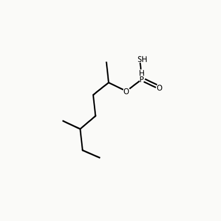 CCC(C)CCC(C)O[PH](=O)S